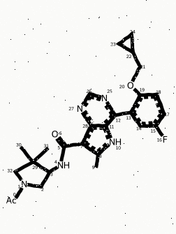 CC(=O)N1CC(NC(=O)c2c(C)[nH]c3c(-c4cc(F)ccc4OCC4CC4)ncnc23)C(C)(C)C1